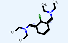 CCN(/C=C1/C=CC/C(=C\N(CC)CC)C1Br)CC